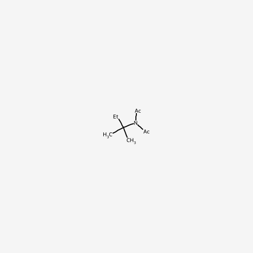 CCC(C)(C)N(C(C)=O)C(C)=O